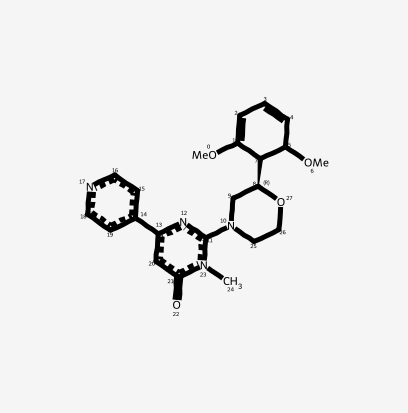 COC1=CC=CC(OC)C1[C@@H]1CN(c2nc(-c3ccncc3)cc(=O)n2C)CCO1